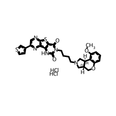 COc1cccc2c1[C@@H]1CN(CCCCn3c(=O)[nH]c4c(sc5ncc(-c6ccsc6)nc54)c3=O)C[C@H]1CO2.Cl.Cl